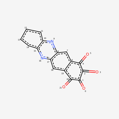 O=c1c(=O)c(=O)c2cc3nc4ccccc4nc3cc2c1=O